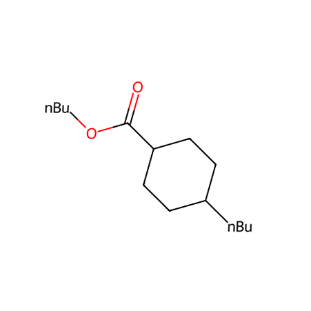 CCCCOC(=O)C1CCC(CCCC)CC1